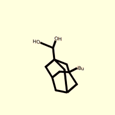 CCC(C)C12CC3CC(CC(C(O)O)(C3)C1)C2